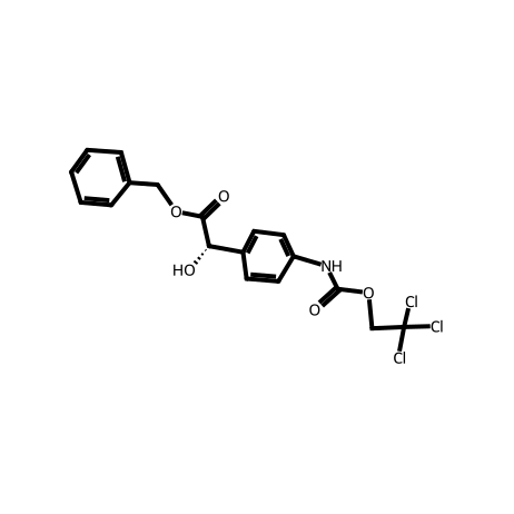 O=C(Nc1ccc([C@H](O)C(=O)OCc2ccccc2)cc1)OCC(Cl)(Cl)Cl